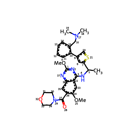 COc1nc(NC(C)c2cc(-c3ccccc3CN(C)C)cs2)c2cc(OC)c(C(=O)N3CCOCC3)cc2n1